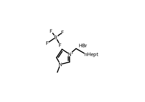 Br.CCCCCCCC[n+]1ccn(C)c1.F[B-](F)(F)F